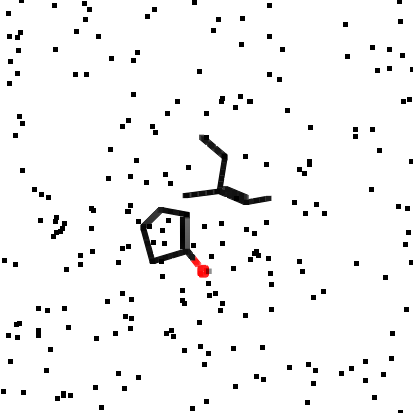 CC=C(C)CC.[O]C1=CCCC1